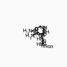 CCCCCCCCCNC(=O)CC(=O)NCC(=O)N(C)[C@@H]1C(=O)N[C@@H](C)C(=O)N[C@H](C)Cc2ccc(OCCN)c(c2)-c2cc1ccc2OCCN